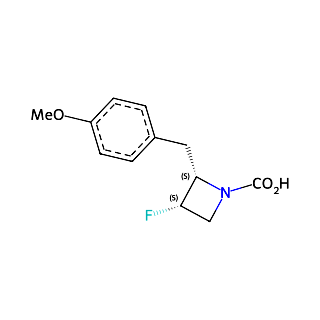 COc1ccc(C[C@H]2[C@@H](F)CN2C(=O)O)cc1